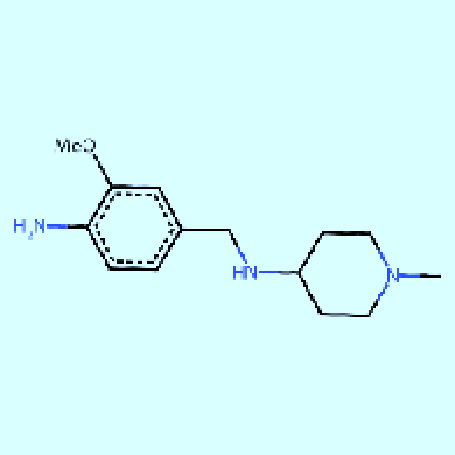 COc1cc(CNC2CCN(C)CC2)ccc1N